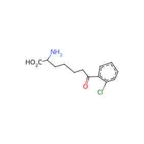 NC(CCCCC(=O)c1ccccc1Cl)C(=O)O